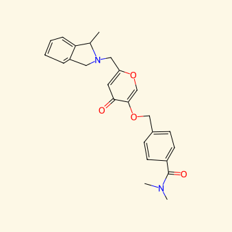 CC1c2ccccc2CN1Cc1cc(=O)c(OCc2ccc(C(=O)N(C)C)cc2)co1